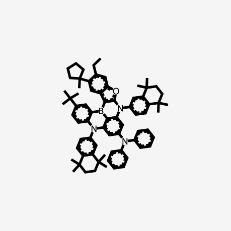 CCc1cc2oc3c(c2cc1C1(C)CCCC1)B1c2cc(C(C)(C)C)ccc2N(c2ccc4c(c2)C(C)(C)CCC4(C)C)c2cc(N(c4ccccc4)c4ccccc4)cc(c21)N3c1ccc2c(c1)C(C)(C)CCC2(C)C